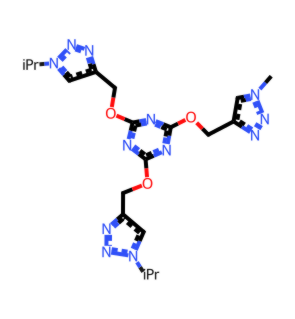 CC(C)n1cc(COc2nc(OCc3cn(C)nn3)nc(OCc3cn(C(C)C)nn3)n2)nn1